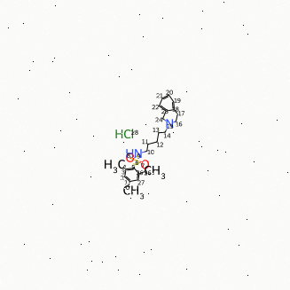 Cc1cc(C)c(S(=O)(=O)NCCCCCN2CCc3ccccc3C2)c(C)c1.Cl